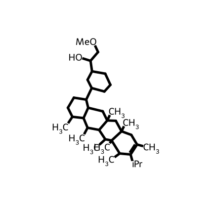 COCC(O)C1CCCC(C2CCC(C)C3C(C)C4C(C)C5(C)C(C)C(C(C)C)=C(C)CC5(C)CC4(C)CC23)C1